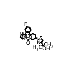 CC(C)(O)c1csc([C@@H]2CC[C@](C)(c3ccc(F)cc3-n3nccn3)N(C=O)C2)n1